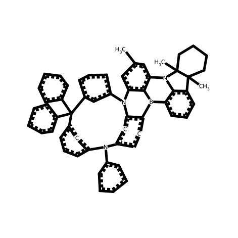 Cc1cc2c3c(c1)N1c4c(cccc4C4(C)CCCCC14C)B3c1ccc3cc1N2c1cccc(c1)C(c1ccccc1)(c1ccccc1)c1cccc(c1)N3c1ccccc1